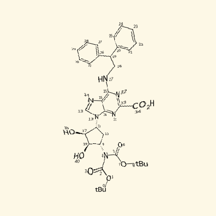 CC(C)(C)OC(=O)N(C(=O)OC(C)(C)C)[C@H]1C[C@@H](n2cnc3c(NCC(c4ccccc4)c4ccccc4)nc(C(=O)O)nc32)[C@H](O)[C@@H]1O